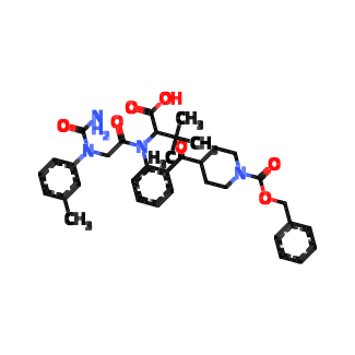 Cc1cccc(N(CC(=O)N(c2ccccc2C(=O)C2CCN(C(=O)OCc3ccccc3)CC2)C(C(=O)O)C(C)(C)C)C(N)=O)c1